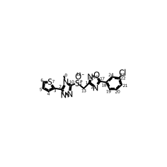 Cn1c(-c2cccs2)nnc1[S+]([O-])Cc1noc(-c2cccc(Cl)c2)n1